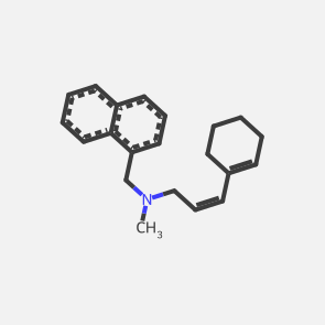 CN(C/C=C\C1=CCCCC1)Cc1cccc2ccccc12